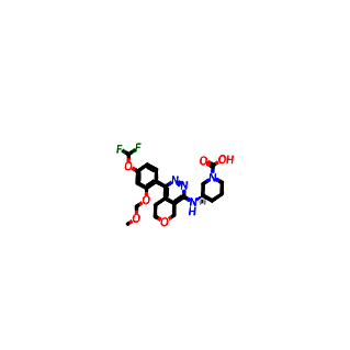 COCOc1cc(OC(F)F)ccc1-c1nnc(N[C@@H]2CCCN(C(=O)O)C2)c2c1CCOC2